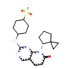 CS(=O)(=O)C1CCC(Nc2ncc3ccc(=O)n([C@H]4CCCC45CC5)c3n2)CC1